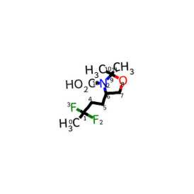 CC(F)(F)CCC1COC(C)(C)N1C(=O)O